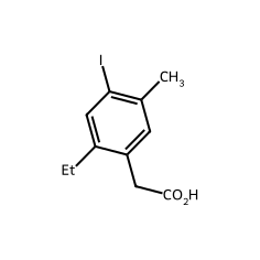 CCc1cc(I)c(C)cc1CC(=O)O